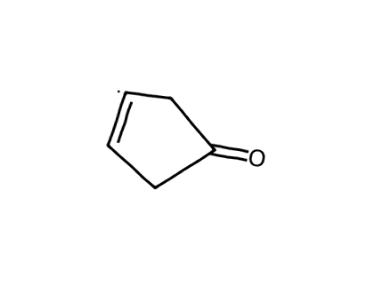 O=C1C[C]=CC1